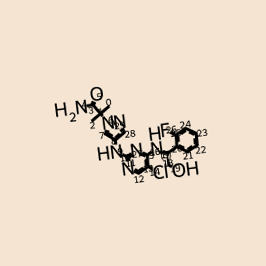 CC(C)(C(N)=O)n1cc(Nc2ncc(Cl)c(N[C@H](CO)c3ccccc3F)n2)cn1